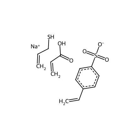 C=CC(=O)O.C=CCS.C=Cc1ccc(S(=O)(=O)[O-])cc1.[Na+]